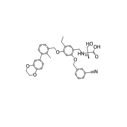 CCc1cc(CN[C@](C)(CO)C(=O)O)c(OCc2cccc(C#N)c2)cc1OCc1cccc(-c2ccc3c(c2)OCCO3)c1C